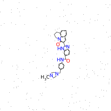 CN1CCN(Cc2ccc(NC(=O)c3ccc4nc(-c5cc6cccc7c6n(c5=O)CCC7)[nH]c4c3)cc2)CC1